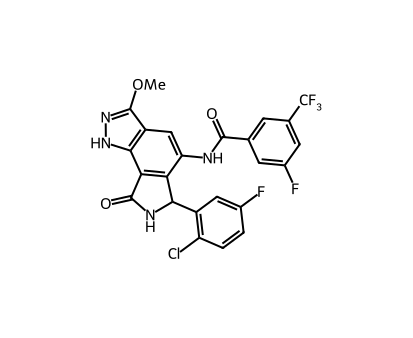 COc1n[nH]c2c3c(c(NC(=O)c4cc(F)cc(C(F)(F)F)c4)cc12)C(c1cc(F)ccc1Cl)NC3=O